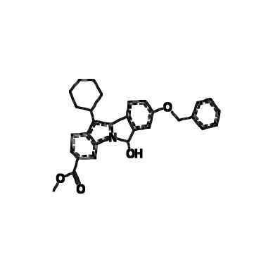 COC(=O)c1ccc2c(C3CCCCC3)c3n(c2c1)C(O)c1cc(OCc2ccccc2)ccc1-3